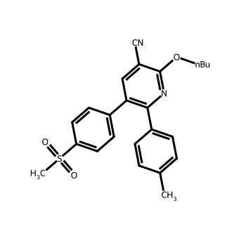 CCCCOc1nc(-c2ccc(C)cc2)c(-c2ccc(S(C)(=O)=O)cc2)cc1C#N